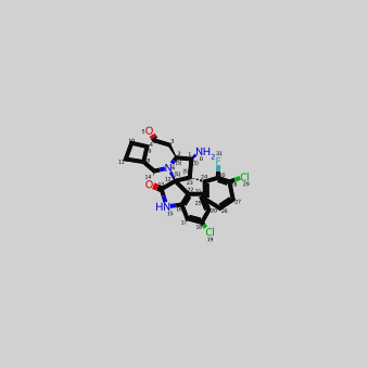 N[C@@H]1[C@H](CC=O)N(CC2CCC2)[C@@]2(C(=O)Nc3cc(Cl)ccc32)[C@H]1c1cccc(Cl)c1F